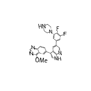 COc1ncnc2ccc(-c3c[nH]c4ncc(-c5cc(F)c(F)c(N6CCNCC6)c5)cc34)cc12